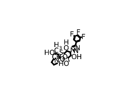 CC(C)(O)[C@H](S[C@@H]1O[C@H](CO)[C@H](O)[C@H](n2cc(-c3cc(F)c(F)c(F)c3)nn2)[C@H]1O)C(=O)N1CCCC1